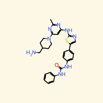 Cc1nc(Nc2ncc(-c3ccc(NC(=O)Nc4ccccc4)cc3)s2)cc(N2CCC(CN)CC2)n1